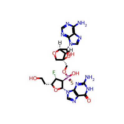 Nc1nc2c(ncn2[C@@H]2O[C@H](CCO)[C@H](F)[C@H]2P(O)(=S)OC[C@@]23CO[C@@H]([C@H](n4cnc5c(N)ncnc54)O2)[C@@H]3O)c(=O)[nH]1